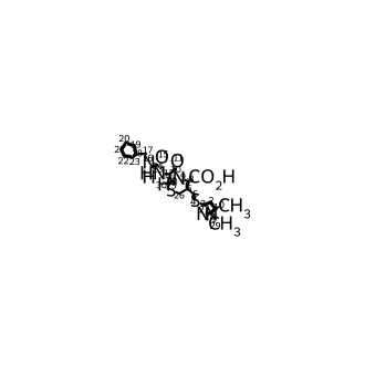 Cc1cc(SCC2=C(C(=O)O)N3C(=O)C(NC(=O)NCc4ccccc4)[C@H]3SC2)nn1C